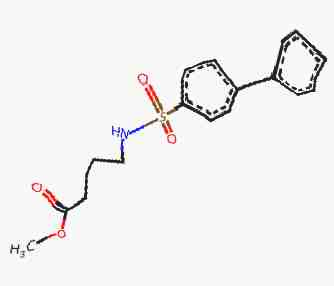 COC(=O)CCCNS(=O)(=O)c1ccc(-c2ccccc2)cc1